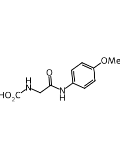 COc1ccc(NC(=O)CNC(=O)O)cc1